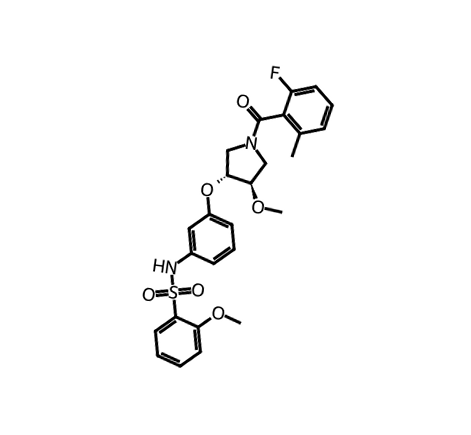 COc1ccccc1S(=O)(=O)Nc1cccc(O[C@@H]2CN(C(=O)c3c(C)cccc3F)C[C@H]2OC)c1